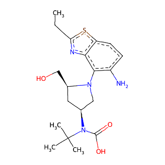 CCc1nc2c(N3C[C@@H](N(C(=O)O)C(C)(C)C)C[C@H]3CO)c(N)ccc2s1